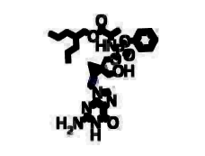 CCCC(CCC)COC(=O)C(C)NP(=O)(OC[C@]1(CO)C/C1=C/n1cnc2c(=O)[nH]c(N)nc21)Oc1ccccc1